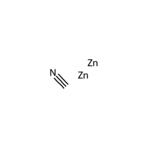 C#N.[Zn].[Zn]